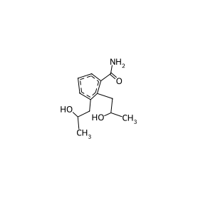 CC(O)Cc1cccc(C(N)=O)c1CC(C)O